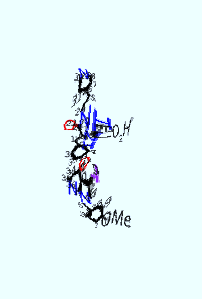 COc1ccc(Cn2cc(I)c3c(Oc4ccc(C[C@H](NC(=O)O)C(=O)NCCc5ccncc5)cc4)ccnc32)cc1